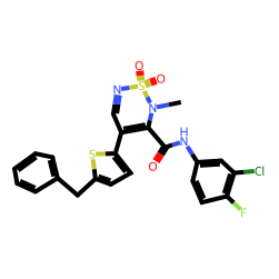 CN1C(C(=O)Nc2ccc(F)c(Cl)c2)=C(c2ccc(Cc3ccccc3)s2)C=NS1(=O)=O